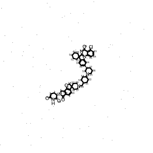 O=C1CC[C@H](N2Cc3c(ccc4c3OCC43CCN(CC4CCC(N5CCC[C@H](c6ccc7c(c6)-n6c(nc(=O)c8c(Cl)cccc86)C76CCCCC6)C5)CC4)CC3)C2=O)C(=O)N1